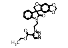 CCOC(=O)c1cnnn1CCN1C(=O)C2(COc3cc4c(cc32)OCO4)c2ccccc21